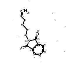 C=CCCCCN1C(=O)c2ccccc2C1=O